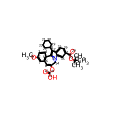 COc1ccc2c(c1)C=C(OC(=O)O)Cn1c-2c(C2CCCCC2)c2ccc(C(=O)OC(C)(C)C)cc21